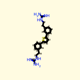 N=C(N)NCCc1cccc(-c2ccc(-c3cccc(CCNC(=N)N)c3)s2)c1